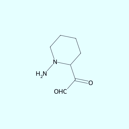 NN1CCCCC1C(=O)C=O